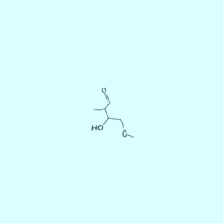 COCC(O)C(C)C=O